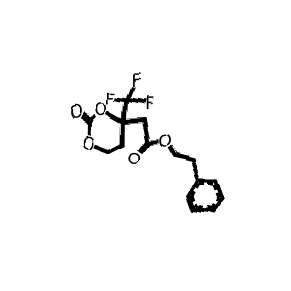 O=C(CC1(C(F)(F)F)CCOC(=O)O1)OCCc1ccccc1